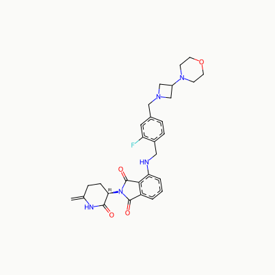 C=C1CC[C@@H](N2C(=O)c3cccc(NCc4ccc(CN5CC(N6CCOCC6)C5)cc4F)c3C2=O)C(=O)N1